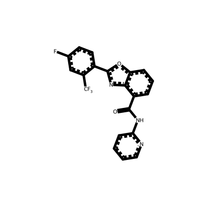 O=C(Nc1ccccn1)c1cccc2oc(-c3ccc(F)cc3C(F)(F)F)nc12